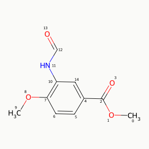 COC(=O)c1ccc(OC)c(NC=O)c1